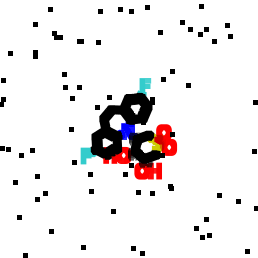 O=S1(=O)C[C@H](O)[C@H](O)[C@@H](N2c3ccc(F)cc3CCc3cc(F)ccc32)C1